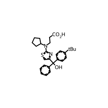 CC(C)(C)c1ccc(C(O)(c2ccccc2)c2csc(N(CCC(=O)O)C3CCCC3)n2)cc1